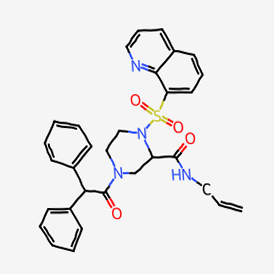 C=CCNC(=O)C1CN(C(=O)C(c2ccccc2)c2ccccc2)CCN1S(=O)(=O)c1cccc2cccnc12